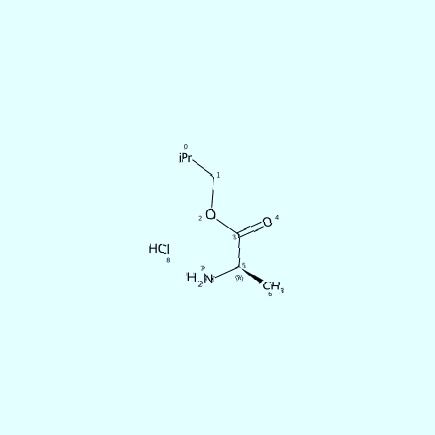 CC(C)COC(=O)[C@@H](C)N.Cl